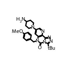 COc1ccc(Cn2c(=O)n3c(C(C)(C)C)nnc3c3ncc(N4CCC(N)CC4)cc32)cc1